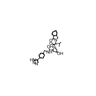 CC(C)[C@@H](C(=O)N1C[C@H](O)C[C@H]1C(O)NCc1ccc(-c2cnn[nH]2)cc1)N1Cc2ccccc2C1=O